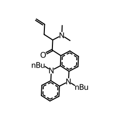 C=CCC(C(=O)c1cccc2c1N(CCCC)c1ccccc1N2CCCC)N(C)C